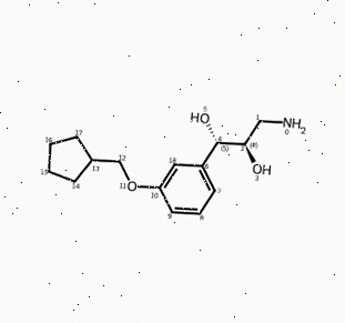 NC[C@@H](O)[C@@H](O)c1cccc(OCC2CCCC2)c1